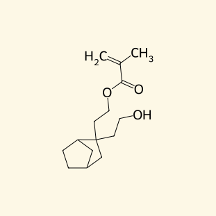 C=C(C)C(=O)OCCC1(CCO)CC2CCC1C2